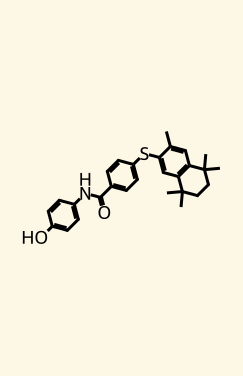 Cc1cc2c(cc1Sc1ccc(C(=O)Nc3ccc(O)cc3)cc1)C(C)(C)CCC2(C)C